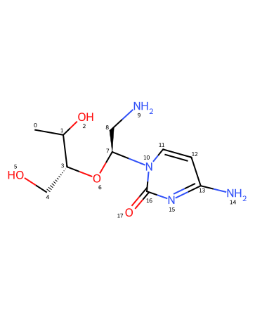 CC(O)[C@@H](CO)O[C@@H](CN)n1ccc(N)nc1=O